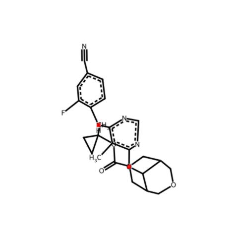 Cc1c(Nc2ccc(C#N)cc2F)ncnc1OC1C2COCC1CN(C(=O)OC1(C)CC1)C2